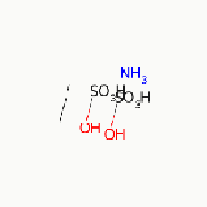 CC.N.O=S(=O)(O)O.O=S(=O)(O)O